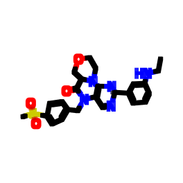 CCNc1cccc(-c2ncc3c(n2)N2CCOCC2C(=O)N3Cc2ccc(S(C)(=O)=O)cc2)c1